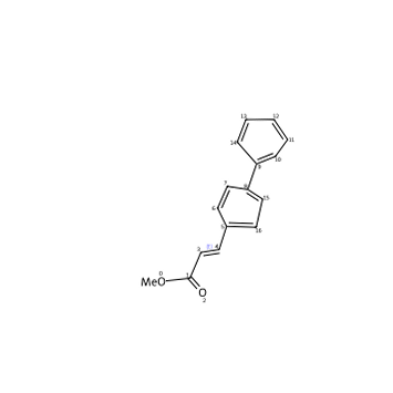 COC(=O)/C=C/c1ccc(-c2ccccc2)cc1